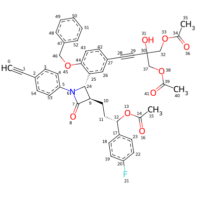 C#Cc1ccc(N2C(=O)[C@H](CC[C@H](OC(C)=O)c3ccc(F)cc3)[C@H]2c2cc(C#CC(O)(COC(C)=O)COC(C)=O)ccc2OCc2ccccc2)cc1